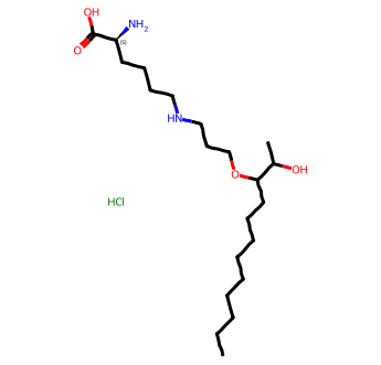 CCCCCCCCCC(OCCCNCCCC[C@H](N)C(=O)O)C(C)O.Cl